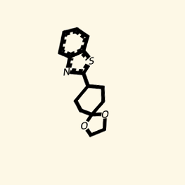 c1ccc2sc(C3CCC4(CC3)OCCO4)nc2c1